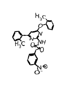 Cc1ccccc1Oc1cc(-c2ccccc2C)nc(NS(=O)(=O)c2cccc([N+](=O)[O-])c2)n1